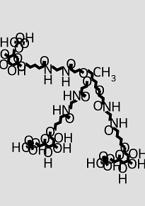 CC(COCCC(=O)NCCCNC(=O)CCCCOC1OC(COP(=O)(O)O)C(O)C(O)C1O)C(CCOCCC(=O)NCCCNC(=O)CCCCOC1OC(COP(=O)(O)O)C(O)C(O)C1O)OCCC(=O)NCCCNC(=O)CCCCOC1OC(COP(=O)(O)O)C(O)C(O)C1O